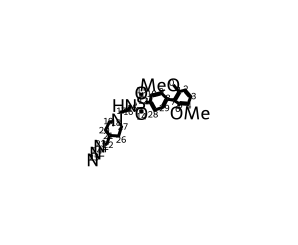 COc1cccc(OC)c1-c1ccc(S(=O)(=O)NCCN2CCC(CN=[N+]=[N-])CC2)cc1